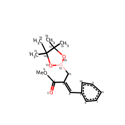 COC(=O)/C(=C/c1ccccc1)CB1OC(C)(C)C(C)(C)O1